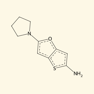 Nc1cc2oc(N3CCCC3)cc2s1